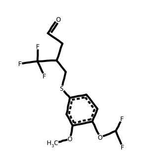 COc1cc(SCC(CC=O)C(F)(F)F)ccc1OC(F)F